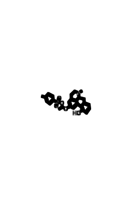 Cc1ccc(S(=O)(=O)OC(C)Oc2cc3c4c(c2)-c2c(O)cccc2CC4N(C)CC3)cc1